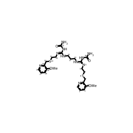 COc1cccnc1CSCC/N=C(\NCCCN/C(=N\CCSCc1ncccc1OC)NC(N)=O)NC(N)=O